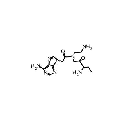 CCC(N)C(=O)CN(CCN)C(=O)Cn1cnc2c(N)ncnc21